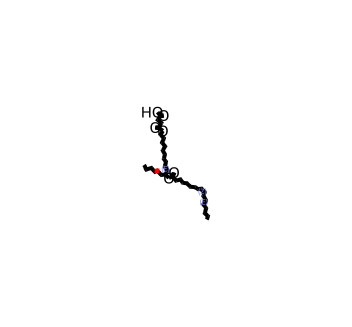 CCCC/C=C/C/C=C\CCCCCCCC(=O)OC(/C=C/CCCCCCCCOC(=O)CCC(=O)O)CCCCCC